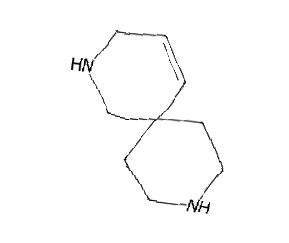 C1=CC2(CCNCC2)CNC1